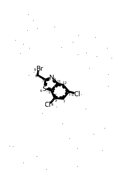 Clc1cc(Cl)c2sc(CBr)nc2c1